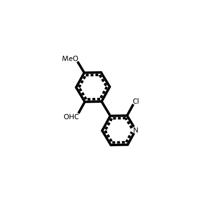 COc1ccc(-c2cccnc2Cl)c(C=O)c1